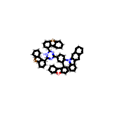 c1ccc2cc3c(cc2c1)c1ccccc1n3-c1ccc(C2=NC(c3cccc4sc5ccccc5c34)NC(c3cccc4sc5ccccc5c34)=N2)cc1-c1cccc2oc3ccccc3c12